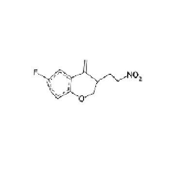 C=C1c2cc(F)ccc2OCC1CC[N+](=O)[O-]